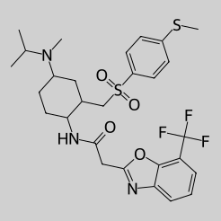 CSc1ccc(S(=O)(=O)CC2CC(N(C)C(C)C)CCC2NC(=O)Cc2nc3cccc(C(F)(F)F)c3o2)cc1